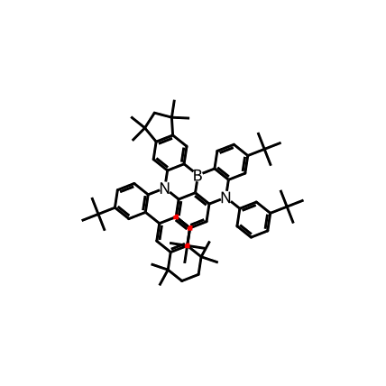 CC(C)(C)c1cccc(N2c3cc(C(C)(C)C)ccc3B3c4cc5c(cc4N(c4ccc(C(C)(C)C)cc4-c4ccc6c(c4)C(C)(C)CCC6(C)C)c4cc(C(C)(C)C)cc2c43)C(C)(C)CC5(C)C)c1